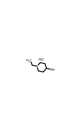 CCN1CCC(O)CC1.Cl